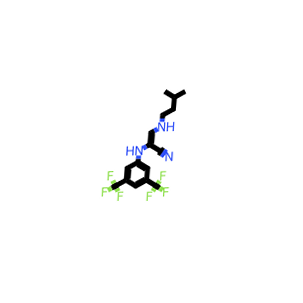 CC(C)CCNC=C(C#N)Nc1cc(C(F)(F)F)cc(C(F)(F)F)c1